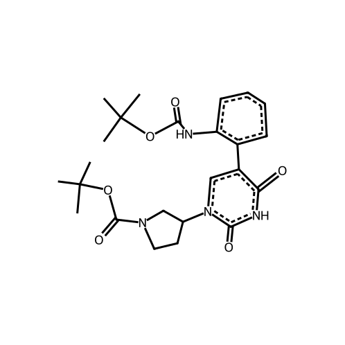 CC(C)(C)OC(=O)Nc1ccccc1-c1cn(C2CCN(C(=O)OC(C)(C)C)C2)c(=O)[nH]c1=O